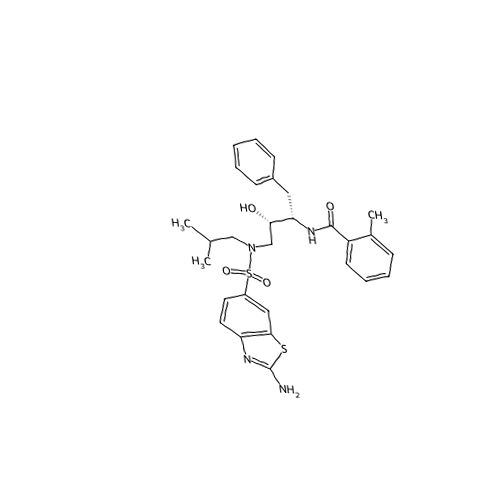 Cc1ccccc1C(=O)N[C@@H](Cc1ccccc1)[C@@H](O)CN(CC(C)C)S(=O)(=O)c1ccc2nc(N)sc2c1